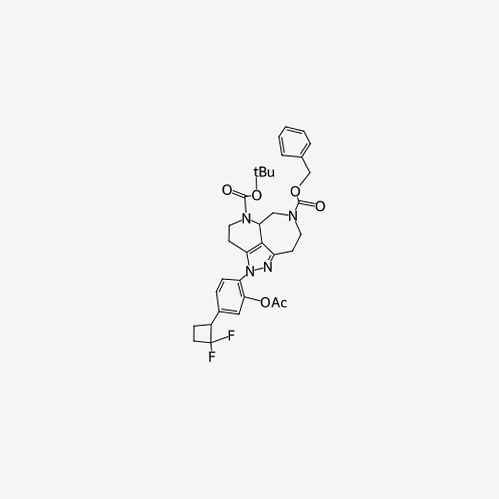 CC(=O)Oc1cc(C2CCC2(F)F)ccc1-n1nc2c3c1CCN(C(=O)OC(C)(C)C)C3CN(C(=O)OCc1ccccc1)CC2